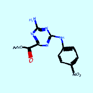 COC(=O)c1nc(N)nc(Nc2ccc([N+](=O)[O-])cc2)n1